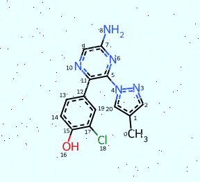 Cc1cnn(-c2nc(N)cnc2-c2ccc(O)c(Cl)c2)c1